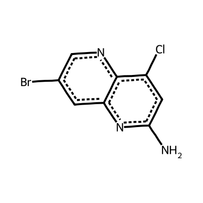 Nc1cc(Cl)c2ncc(Br)cc2n1